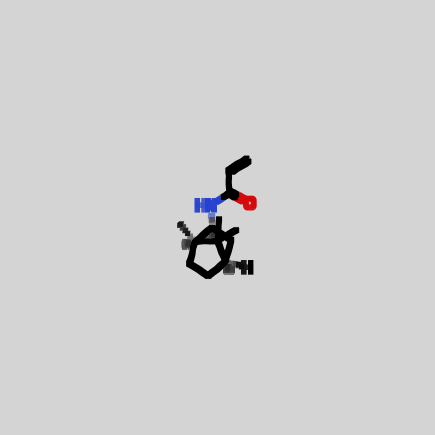 C=CC(=O)N[C@@H]1C[C@H]2CC[C@]1(C)C2(C)C